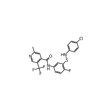 Cc1cc(C(=O)Nc2ccc(F)c(SNc3ccc(Cl)cc3)c2)c(C(F)(F)F)cn1